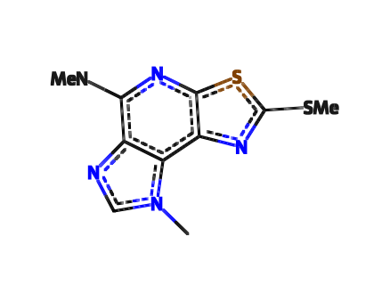 CNc1nc2sc(SC)nc2c2c1ncn2C